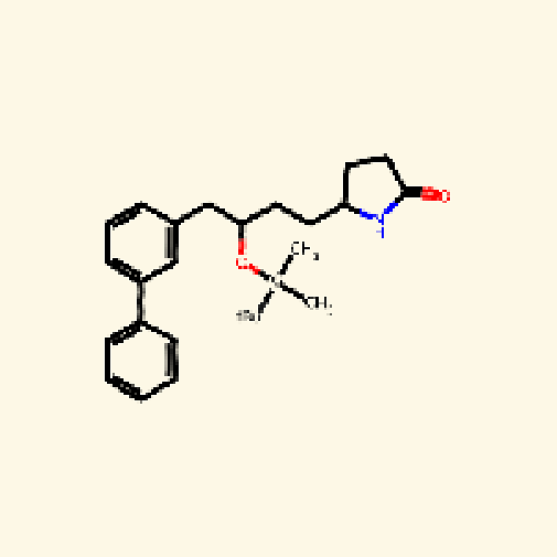 CC(C)(C)[Si](C)(C)OC(CCC1CCC(=O)N1)Cc1cccc(-c2ccccc2)c1